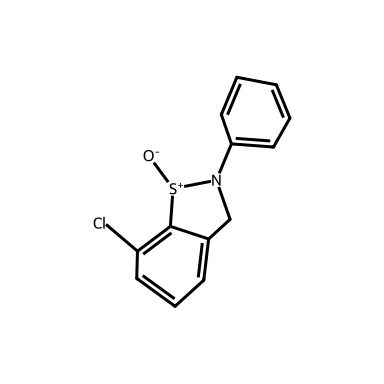 [O-][S+]1c2c(Cl)cccc2CN1c1ccccc1